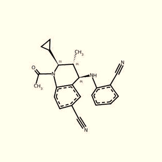 CC(=O)N1c2ccc(C#N)cc2[C@H](Nc2ccccc2C#N)[C@@H](C)[C@@H]1C1CC1